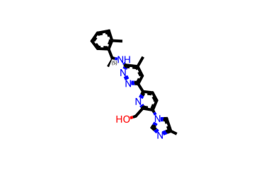 Cc1cn(-c2ccc(-c3cc(C)c(N[C@@H](C)c4ccccc4C)nn3)nc2CO)cn1